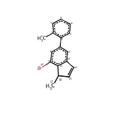 Cc1ccccc1-c1cc(Br)c2c(c1)C=CC2C